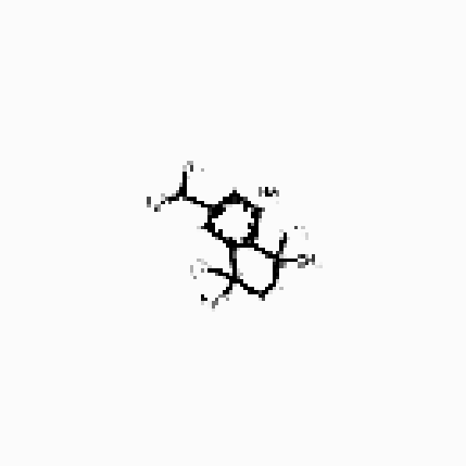 Br.CC(P)c1ccc2c(c1)C(C)(C)CCC2(C)C